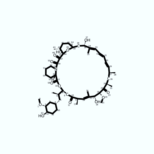 CO[C@@H]1C[C@H](C[C@@H](C)[C@@H]2CC(=O)[C@H](C)/C=C(\C)[C@@H](O)[C@@H](OC)C(=O)[C@H](C)C[C@H](C)/C=C/C=C/C=C(\C)[C@@H](O)C[C@@H]3CC[C@@H](C)[C@@](O)(O3)C(=O)C(=O)N3CCCC[C@H]3C(=O)O2)CC[C@H]1O